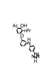 CCCc1c(OCc2cccc(Nc3ccc(-c4nn[nH]n4)cc3)c2)ccc(C(C)=O)c1O